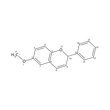 COc1ccc2c(c1)C=CC(c1ccccc1)O2